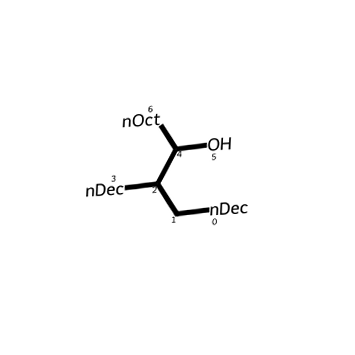 CCCCCCCCCCCC(CCCCCCCCCC)C(O)CCCCCCCC